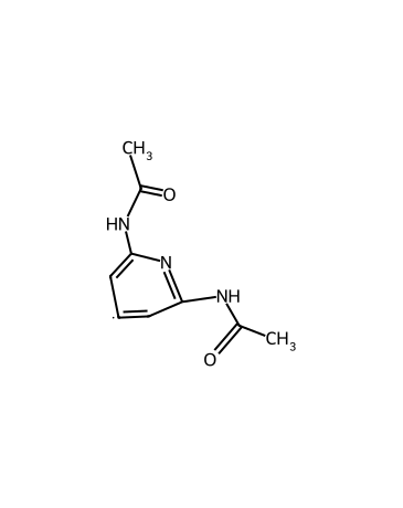 CC(=O)Nc1c[c]cc(NC(C)=O)n1